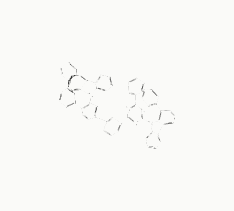 c1ccc(-c2cccc(-c3ccc(-c4cccc(-c5nc(-c6ccccc6)nc(-n6c7ccccc7c7cccc(-c8ccccc8)c76)n5)c4)cc3-n3c4ccccc4c4ccccc43)c2)cc1